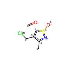 C=O.Cc1n[s+]([O-])cc1CCl